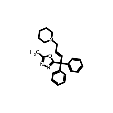 Cc1nnc(C(/C=C/CN2CCCCC2)(c2ccccc2)c2ccccc2)o1